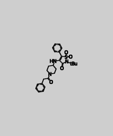 CC(C)(C)N1C(=O)C(NC2CCN(C(=O)Cc3ccccc3)CC2)=C(c2ccccc2)S1(=O)=O